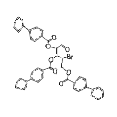 O=CC(OC(=O)c1ccc(-c2ccccc2)cc1)C(OC(=O)c1ccc(-c2ccccc2)cc1)C(Br)COC(=O)c1ccc(-c2ccccc2)cc1